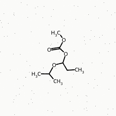 CCC(OC(=O)OC)OC(C)C